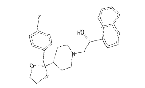 O[C@@H](CN1CCC(C2(c3ccc(F)cc3)OCCO2)CC1)c1cccc2ccccc12